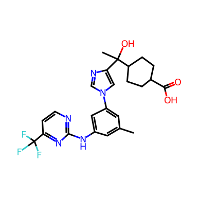 Cc1cc(Nc2nccc(C(F)(F)F)n2)cc(-n2cnc(C(C)(O)C3CCC(C(=O)O)CC3)c2)c1